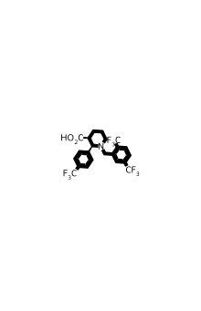 O=C(O)[C@H]1CCCN(Cc2cc(C(F)(F)F)ccc2C(F)(F)F)[C@H]1c1ccc(C(F)(F)F)cc1